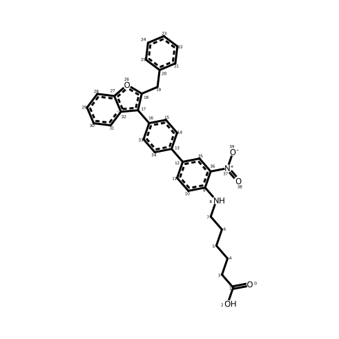 O=C(O)CCCCCNc1ccc(-c2ccc(-c3c(Cc4ccccc4)oc4ccccc34)cc2)cc1[N+](=O)[O-]